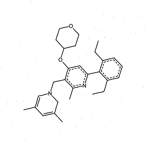 CCc1cccc(CC)c1-c1cc(OC2CCOCC2)c(CN2C=C(C)C=C(C)C2)c(C)n1